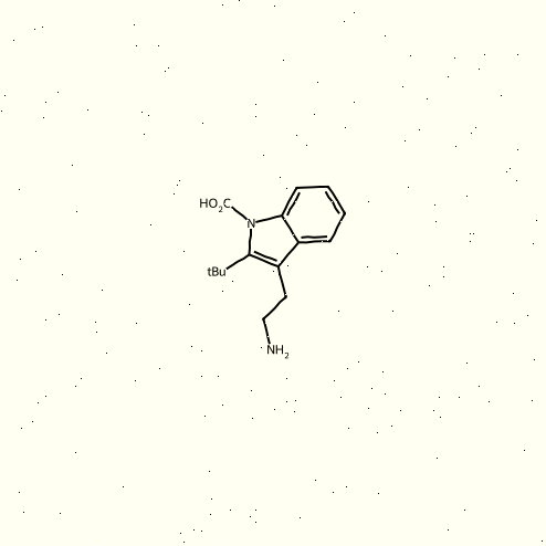 CC(C)(C)c1c(CCN)c2ccccc2n1C(=O)O